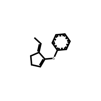 C/C=C1\CCC=C1Sc1ccccc1